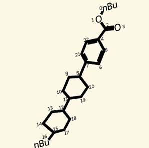 CCCCOC(=O)c1ccc(C2CCC(C3CCC(CCCC)CC3)CC2)cc1